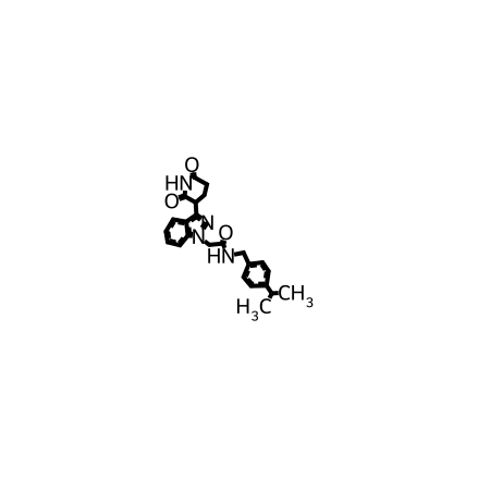 CC(C)c1ccc(CNC(=O)Cn2nc(C3CCC(=O)NC3=O)c3ccccc32)cc1